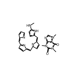 CNc1ccc(C=C2C=CC(C=C3C=CC(C=C4C=CC=N4)=N3)=N2)[nH]1.Cn1c(=O)c2c(ncn2C)n(C)c1=O